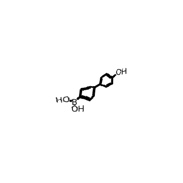 OB(O)c1ccc(-c2ccc(O)cc2)cc1